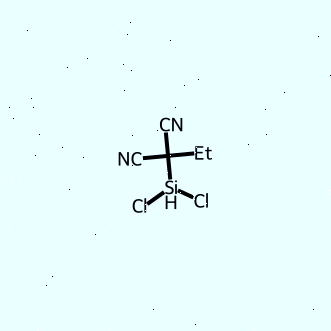 CCC(C#N)(C#N)[SiH](Cl)Cl